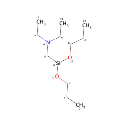 CCCO[Si](CN(CC)CC)OCCC